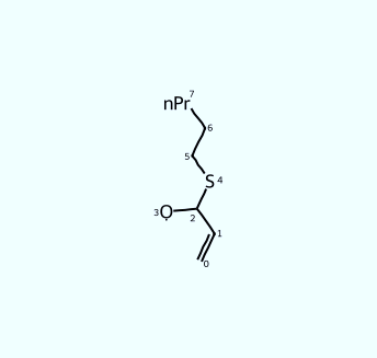 C=CC([O])SCCCCC